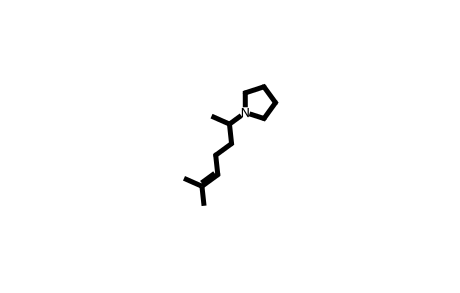 CC(C)=CCCC(C)N1CCCC1